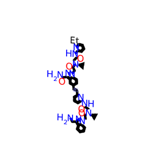 CCc1cccc(NC(=O)CN(C(=O)Cn2nc(C(N)=O)c3cc(/C=C/c4cccc(NC(=O)CN(C(=O)Cn5nc(CN)c6ccccc65)C5CC5)n4)ccc32)C2CC2)n1